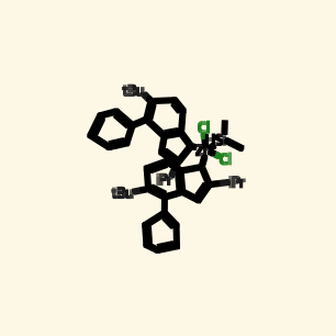 CC(C)C1=Cc2c(ccc(C(C)(C)C)c2-c2ccccc2)[CH]1[Zr]([Cl])([Cl])([CH]1C(C(C)C)=Cc2c1ccc(C(C)(C)C)c2-c1ccccc1)[SiH](C)C